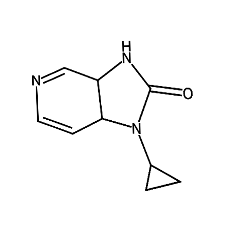 O=C1NC2C=NC=CC2N1C1CC1